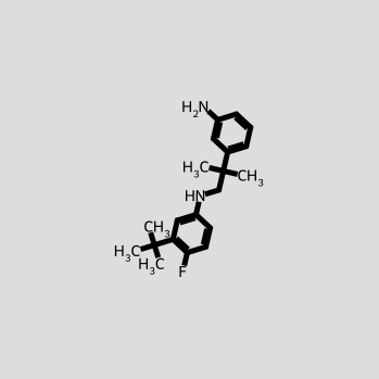 CC(C)(C)c1cc(NCC(C)(C)c2cccc(N)c2)ccc1F